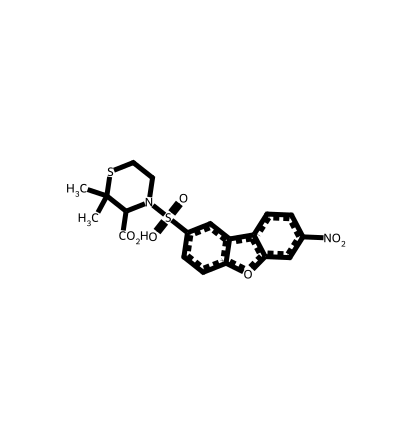 CC1(C)SCCN(S(=O)(=O)c2ccc3oc4cc([N+](=O)[O-])ccc4c3c2)C1C(=O)O